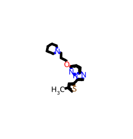 Cc1csc(-c2cnc3ccc(OCCCN4CCCCC4)nn23)c1